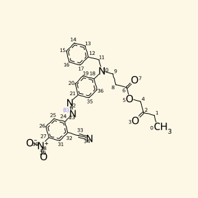 CCC(=O)COC(=O)CCN(Cc1ccccc1)c1ccc(/N=N/c2ccc([N+](=O)[O-])cc2C#N)cc1